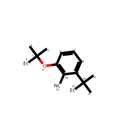 CCC(C)(C)Oc1cccc(C(C)(C)CC)c1C#N